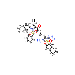 C[C@@H](C(=O)CCCCC(N)C(N)S(=O)(=O)c1ccc2ccccc2c1)N(c1ccc2ccccc2c1)S(=O)(=O)Cc1ccccc1